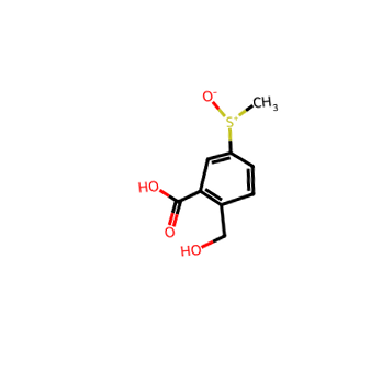 C[S+]([O-])c1ccc(CO)c(C(=O)O)c1